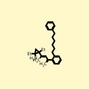 C=C(/C=C(\C)C1(CC)CC1(N)CC)c1ccccc1CCCCCCc1ccccc1